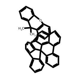 Cc1ccc2cccc3c2c1C1(c2ccccc2-c2cccc(-c4cccc5c4C(C)(C)c4ccccc4O5)c21)c1ccccc1-3